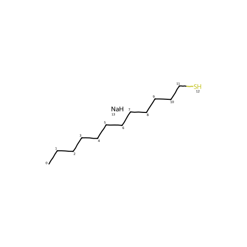 CCCCCCCCCCCCS.[NaH]